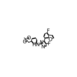 CS(=O)(=O)Cc1cccc(Nc2ncc(F)c(-c3ccc(F)c4ccoc34)n2)c1